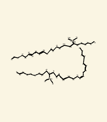 CCCCC/C=C\C/C=C\CCCCCCCC(CCCCCCCCC)N(C)C.CCCCCC=CCC=CCCCCCCCC(CCCCCC)N(C)C